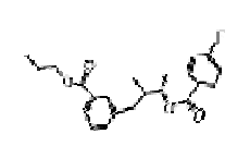 CCCOC(=O)c1cccc(CC(C)C(C)OC(=O)c2ccc(F)cc2)c1